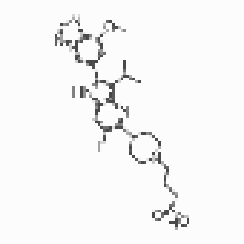 COc1cc(-c2[nH]c3cc(F)c(C4CCN(CCC[SH](=O)=O)CC4)nc3c2C(C)C)cn2ncnc12